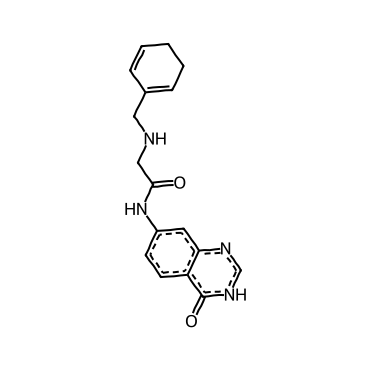 O=C(CNCC1=CCCC=C1)Nc1ccc2c(=O)[nH]cnc2c1